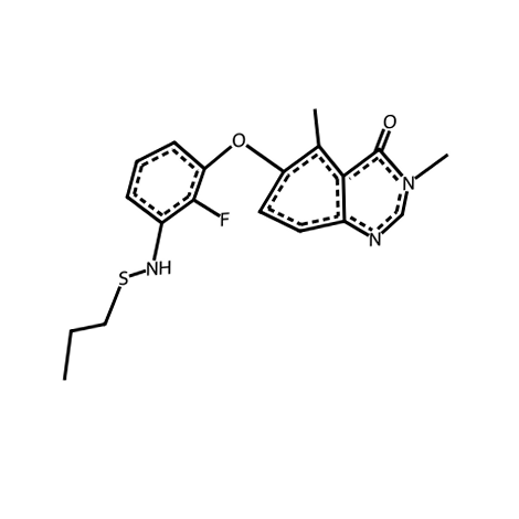 CCCSNc1cccc(Oc2ccc3ncn(C)c(=O)c3c2C)c1F